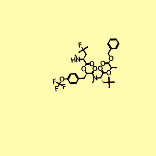 CN[C@@H](CC(C)(C)F)C(=O)O[C@H](Cc1ccc(OC(F)(F)F)cc1)C(=O)N(C)[C@@H](CC(C)(C)C)C(=O)O[C@H](C)C(=O)OCc1ccccc1